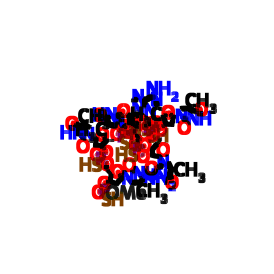 COP(=O)(S)OC1C[C@H](N2C=C(C)C(N)NC2=O)O[C@@H]1COP(=O)(S)OC1C[C@H](n2cc(C)c(=O)[nH]c2=O)O[C@@H]1COP(=O)(S)OC1C[C@H](n2cnc3c(N)ncnc32)O[C@@H]1COP(=O)(S)OC1C[C@H](n2cc(C)c(=O)[nH]c2=O)O[C@@H]1COP(=O)(S)OC1C[C@H](n2cc(C)c(=O)[nH]c2=O)O[C@@H]1COP(=O)(S)OC1C[C@H](n2cc(C)c(=O)[nH]c2=O)O[C@@H]1C